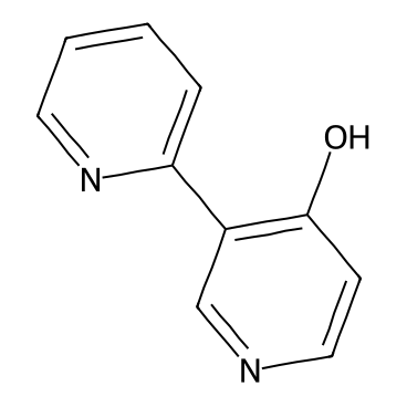 Oc1ccncc1-c1ccccn1